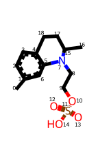 Cc1ccc2c(c1)N(CCOS(=O)(=O)O)C(C)CC2